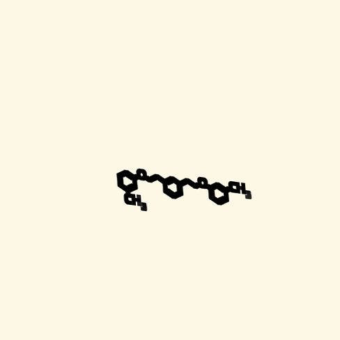 Cc1cccc(OCCc2cccc(CCOc3cccc(C)c3)c2)c1